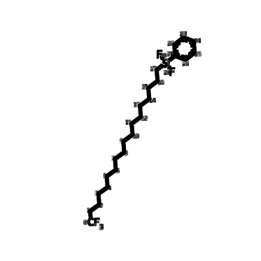 FC(F)(F)CCCCCCCCCCCCCCCCC[Si](F)(F)c1ccccc1